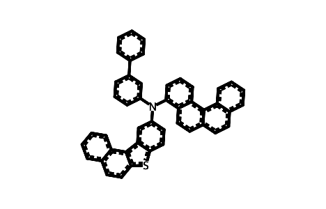 c1ccc(-c2cccc(N(c3ccc4sc5ccc6ccccc6c5c4c3)c3cccc4c3ccc3ccc5ccccc5c34)c2)cc1